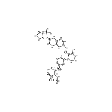 CO/C(Nc1cccc(-c2cccc(C)c2OCc2ccc3c(c2)CCN(C2C4CCOC4C2(C)C)C3)n1)=C(/C=N)C(=O)O